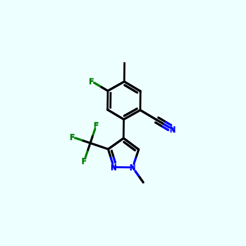 Cc1cc(C#N)c(-c2cn(C)nc2C(F)(F)F)cc1F